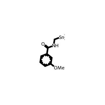 COc1cccc(C(=O)N[CH2][Sn])c1